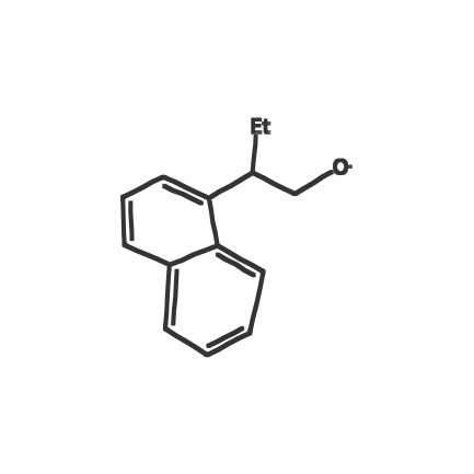 CCC(C[O])c1cccc2ccccc12